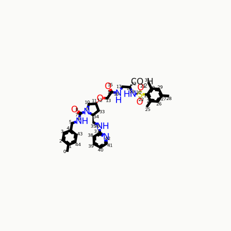 Cc1ccc(CNC(=O)N2C[C@H](OCC(=O)NC[C@H](NS(=O)(=O)c3c(C)cc(C)cc3C)C(=O)O)C[C@H]2CNc2ccccn2)cc1